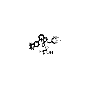 NC/C(=C\F)Cn1nc2cccc(-c3ccc4nonc4c3)n2c1=O.O=C(O)C(F)(F)F